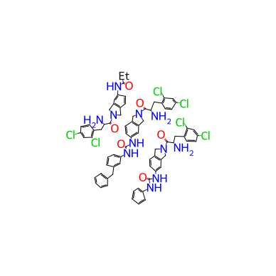 CCC(=O)Nc1ccc2c(c1)CN(C(=O)C(N)Cc1ccc(Cl)cc1Cl)C2.NC(Cc1ccc(Cl)cc1Cl)C(=O)N1Cc2ccc(NC(=O)Nc3cccc(Cc4ccccc4)c3)cc2C1.NC(Cc1ccc(Cl)cc1Cl)C(=O)N1Cc2ccc(NC(=O)Nc3ccccc3)cc2C1